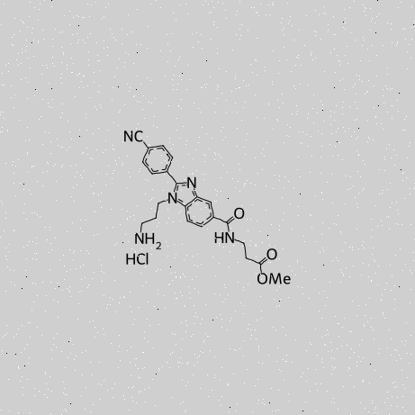 COC(=O)CCNC(=O)c1ccc2c(c1)nc(-c1ccc(C#N)cc1)n2CCCN.Cl